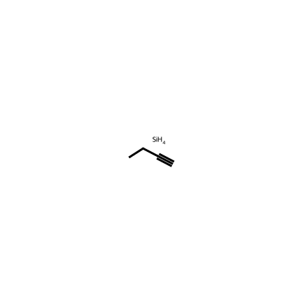 C#CCC.[SiH4]